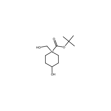 CC(C)(C)OC(=O)[N+]1(CO)CCC(O)CC1